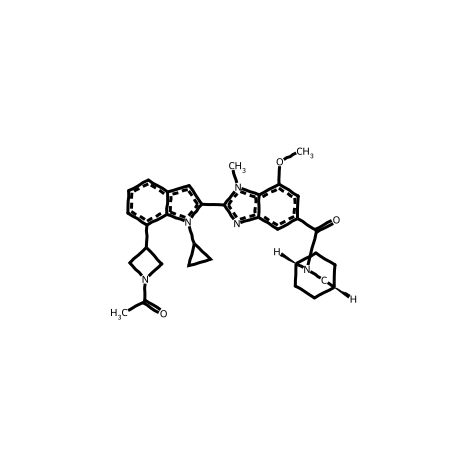 COc1cc(C(=O)N2C[C@H]3CC[C@@H]2CC3)cc2nc(-c3cc4cccc(C5CN(C(C)=O)C5)c4n3C3CC3)n(C)c12